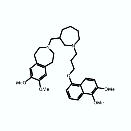 COc1cc2c(cc1OC)CCN(CC1CCCCN(CCCOc3cccc4c(OC)c(OC)ccc34)C1)CC2